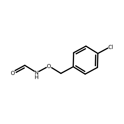 O=CNOCc1ccc(Cl)cc1